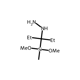 CCC(CC)(NN)[Si](C)(OC)OC